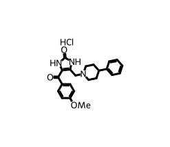 COc1ccc(C(=O)c2[nH]c(=O)[nH]c2CN2CCC(c3ccccc3)CC2)cc1.Cl